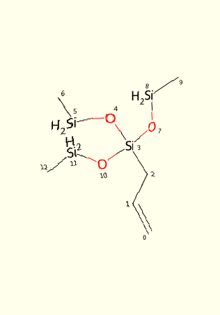 C=CC[Si](O[SiH2]C)(O[SiH2]C)O[SiH2]C